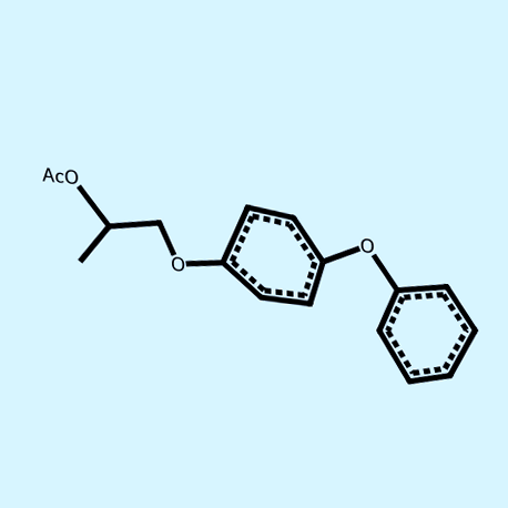 CC(=O)OC(C)COc1ccc(Oc2ccccc2)cc1